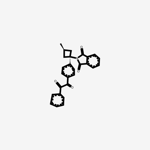 C[C@H]1C[C@@](c2ccc(C(=O)C(=O)c3ccccc3)cc2)(N2C(=O)c3ccccc3C2=O)C1